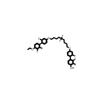 CCOc1ccc(-c2ccc(OCCCCC(F)(F)CCCCOc3ccc(-c4ccc(O)c(F)c4F)c(F)c3)cc2F)c(F)c1F